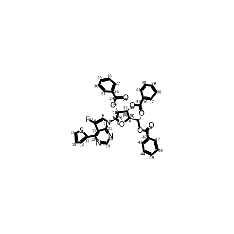 O=C(OC[C@H]1O[C@@H](n2cc(F)c3c(-c4cccs4)ncnc32)[C@H](OC(=O)c2ccccc2)[C@@H]1OC(=O)c1ccccc1)c1ccccc1